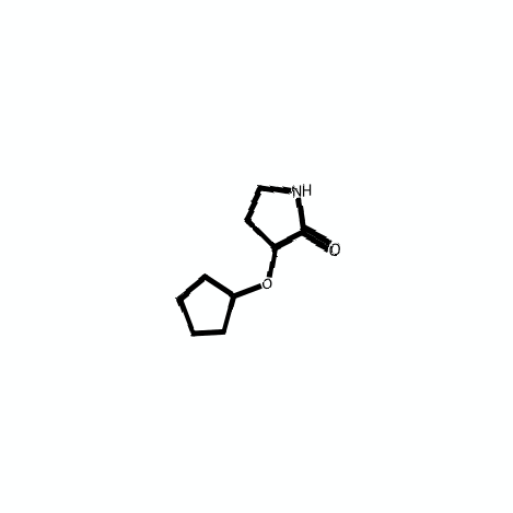 O=C1NCCC1OC1CCCC1